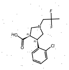 CC(F)(F)CN1C[C@H](C(=O)O)[C@H](c2ccccc2Cl)C1